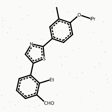 CCc1c(C=O)cccc1-c1cnc(-c2ccc(OC(C)C)c(C)c2)s1